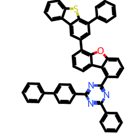 c1ccc(-c2ccc(-c3nc(-c4ccccc4)nc(-c4cccc5oc6c(-c7cc(-c8ccccc8)c8sc9ccccc9c8c7)cccc6c45)n3)cc2)cc1